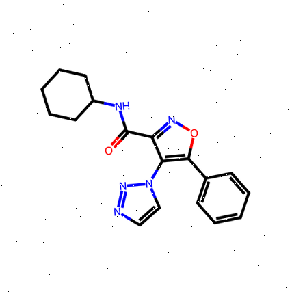 O=C(NC1CCCCC1)c1noc(-c2ccccc2)c1-n1ccnn1